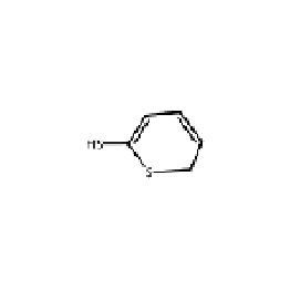 SC1=CC=CCS1